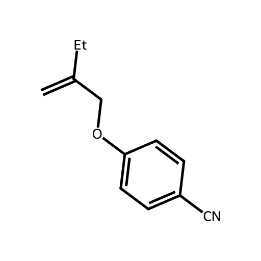 C=C(CC)COc1ccc(C#N)cc1